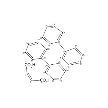 O=C(O)/C=C\C(=O)O.c1ccc(-c2ccccc2)cc1.c1ccc(-c2ccccc2)cc1